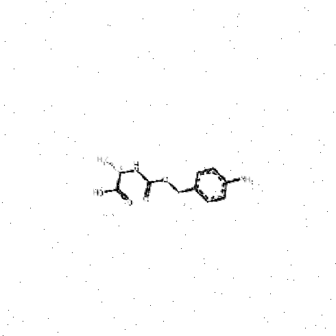 C[C@H](NC(=O)OCc1ccc(N)cc1)C(=O)O